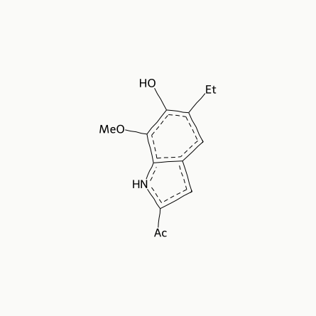 CCc1cc2cc(C(C)=O)[nH]c2c(OC)c1O